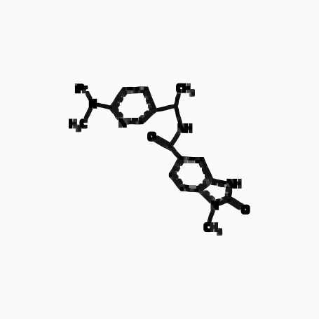 CC(NC(=O)c1ccc2c(c1)[nH]c(=O)n2C)c1ccc(N(C)C(C)C)nc1